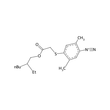 CCCCC(CC)COC(=O)CSc1cc(C)c([N+]#N)cc1C